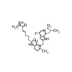 Cc1ccc(NC(=O)CCC/C=C/C(=O)N(C)C)c(=O)n1Cc1cc2c(F)cnc(CC(C)C)c2[nH]1